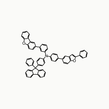 c1ccc(-c2cc3cc(-c4ccc(N(c5ccc(C6(c7ccccc7)c7ccccc7-c7ccccc76)cc5)c5cccc(-c6ccc7oc8ccccc8c7c6)c5)cc4)ccc3o2)cc1